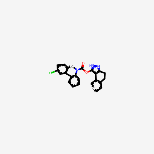 CN(C(=O)Oc1[nH]nc2c1-c1ccccc1CC2)c1ccccc1-c1cccc(Cl)c1